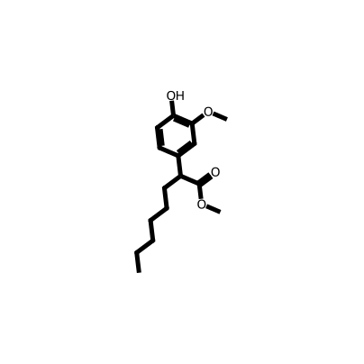 CCCCCCC(C(=O)OC)c1ccc(O)c(OC)c1